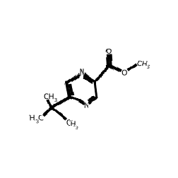 COC(=O)c1cnc(C(C)(C)C)cn1